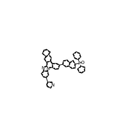 O=P(c1ccccc1)(c1ccccc1)c1ccc2cc(-c3ccc4c(c3)c3cc5ccccc5cc3c3nc5ccc(-c6cccnc6)cc5n43)ccc2c1